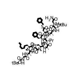 C=C/C=C\C=C\C[C@@H](C(=O)NCC(=O)N(C)[C@@H](CC(C)C)C(=O)N[C@@H](C)C(=O)N[C@H](C(=O)N[C@@H](Cc1ccccc1)C(=O)N[C@@H](CC(=O)SCc1ccccc1)C(=O)N(C)[C@@H](C)C(=O)N[C@@H](COC(C)(C)C)C(=O)NCC(N)=O)C(C)C)N(C)C(=O)[C@H](C)NC(=O)CNC(=O)OC(C)(C)C